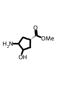 COC(=O)[C@H]1CC(N)C(O)C1